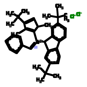 CC1=[C](/[Zr+2](=[CH]\c2ccccc2)[CH]2c3cc(C(C)(C)C)ccc3-c3ccc(C(C)(C)C)cc32)C(C)C=C1[Si](C)(C)C.[Cl-].[Cl-]